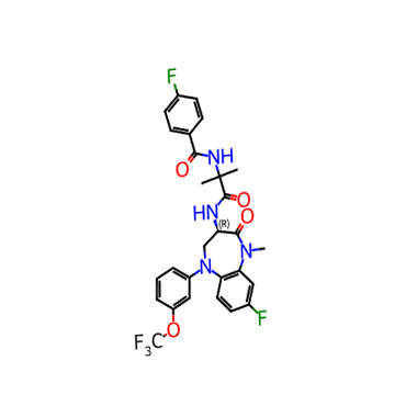 CN1C(=O)[C@H](NC(=O)C(C)(C)NC(=O)c2ccc(F)cc2)CN(c2cccc(OC(F)(F)F)c2)c2ccc(F)cc21